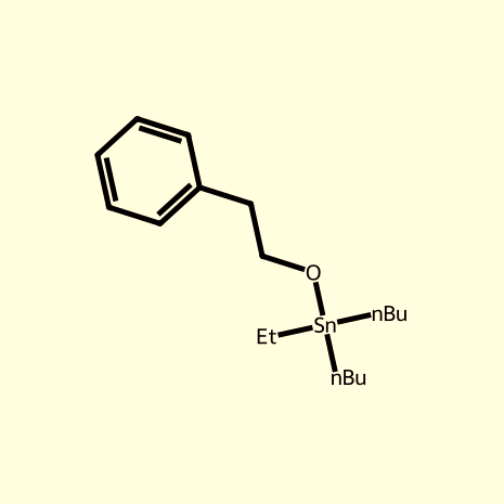 CCC[CH2][Sn]([CH2]C)([CH2]CCC)[O]CCc1ccccc1